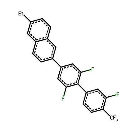 CCc1ccc2cc(-c3cc(F)c(-c4ccc(C(F)(F)F)c(F)c4)c(F)c3)ccc2c1